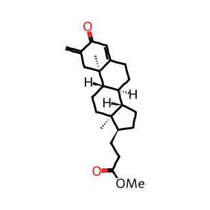 C=C1C[C@@]2(C)C(=CC1=O)CC[C@H]1[C@@H]3CC[C@@H](CCC(=O)OC)[C@@]3(C)CC[C@@H]12